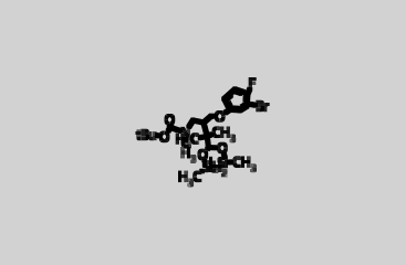 C[SiH2]OC(O[SiH2]C)C(C)(C)C(COc1ccc(F)c(Br)c1)CN(C)C(=O)OC(C)(C)C